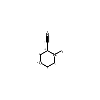 CN1CCO[CH]C1C#N